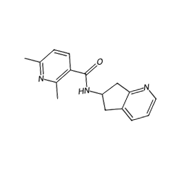 Cc1ccc(C(=O)NC2Cc3cccnc3C2)c(C)n1